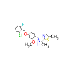 COc1cc(OCc2c(F)cccc2Cl)ccc1CNC(C)c1ncc(C)s1